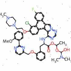 COc1ccccc1-c1nccc(COc2ccccc2CC(Nc2ncnn3cc4c5ccc(F)cc5c5c(Cl)c(OCCN6CCN(C)CC6)ccc5c4c23)C(=O)OC(C)OC(O)N(C)C)n1